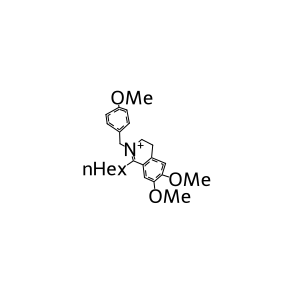 CCCCCCC1=[N+](Cc2ccc(OC)cc2)CCc2cc(OC)c(OC)cc21